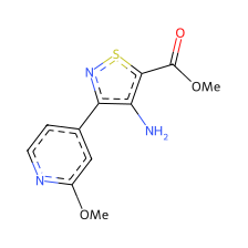 COC(=O)c1snc(-c2ccnc(OC)c2)c1N